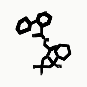 N#C[C@]1(N2CCCCC2)CC(F)(F)CN1C(=O)CNC(=O)c1ccncc1-c1ccccc1